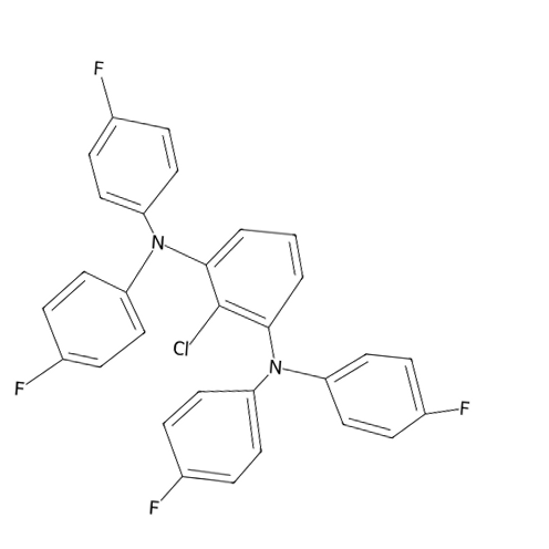 Fc1ccc(N(c2ccc(F)cc2)c2cccc(N(c3ccc(F)cc3)c3ccc(F)cc3)c2Cl)cc1